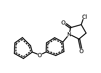 O=C1CC(Cl)C(=O)N1c1ccc(Oc2ccccc2)cc1